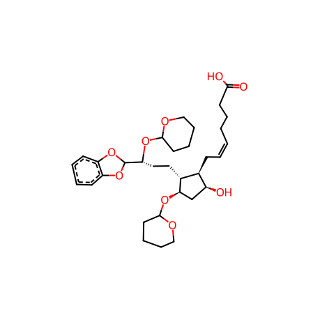 O=C(O)CCC/C=C\C[C@@H]1[C@@H](CC[C@@H](OC2CCCCO2)C2Oc3ccccc3O2)[C@H](OC2CCCCO2)C[C@@H]1O